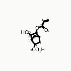 C=CC(=O)OC1C2CC(C(=O)O)C(C2)C1O